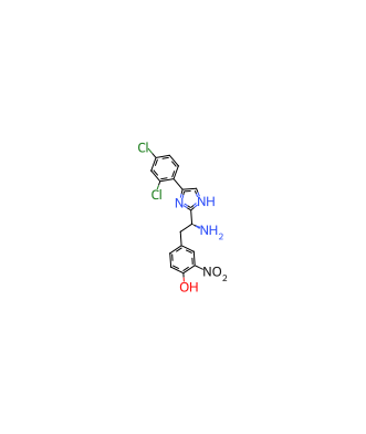 N[C@@H](Cc1ccc(O)c([N+](=O)[O-])c1)c1nc(-c2ccc(Cl)cc2Cl)c[nH]1